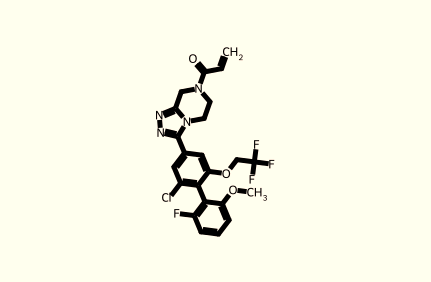 C=CC(=O)N1CCn2c(nnc2-c2cc(Cl)c(-c3c(F)cccc3OC)c(OCC(F)(F)F)c2)C1